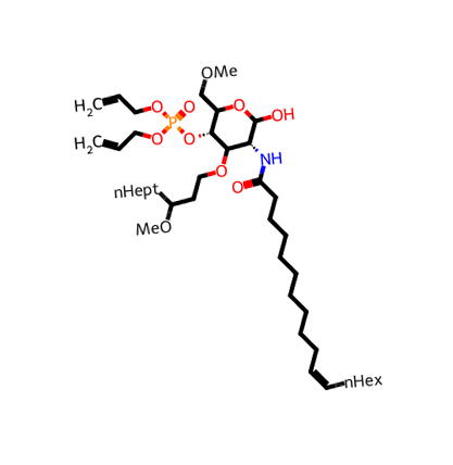 C=CCOP(=O)(OCC=C)O[C@@H]1C(COC)OC(O)[C@H](NC(=O)CCCCCCCCC/C=C\CCCCCC)C1OCCC(CCCCCCC)OC